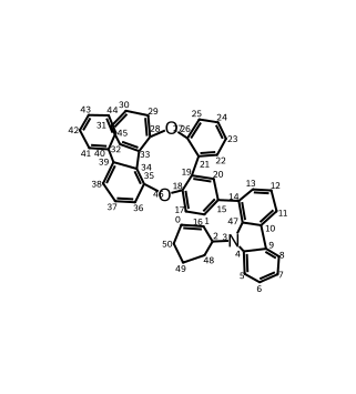 C1=CC(n2c3ccccc3c3cccc(-c4ccc5c(c4)-c4ccccc4Oc4ccccc4-c4c(cccc4-c4ccccc4)O5)c32)CCC1